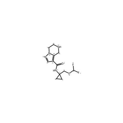 O=C(NC1(COC(F)F)CC1)c1cnn2c1CNCC2